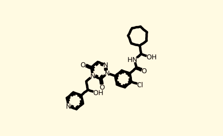 O=C(NC(O)C1CCCCCC1)c1cc(-n2ncc(=O)n(CC(O)c3ccncc3)c2=O)ccc1Cl